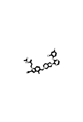 C=C(CCn1c(C#N)cc2c(C)c(CN3CCC4CN(c5nccnc5Oc5ccc(F)cc5Cl)CC4C3)ccc21)NC(C)=O